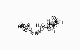 COc1cc(N2CCC(N3CCN(CC4CCN(c5ccc6c(c5)C(=O)N(C5CCC(=O)NC5=O)C6=O)C4)CC3)CC2)c(C)cc1Nc1ncc(Br)c(Nc2ccc3nccnc3c2P(C)(C)=O)n1